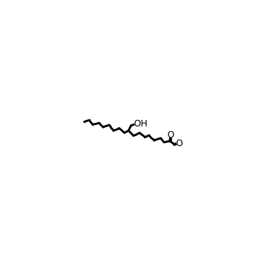 CCCCCCCCCC(CO)CCCCCCCC(=O)C=O